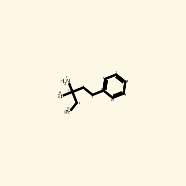 [CH2]CC(N)(CCc1ccccc1)CC(C)C